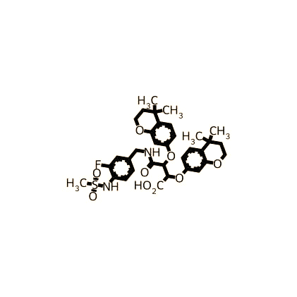 CC1(C)CCOc2cc(OC(C(=O)O)C(Oc3ccc4c(c3)OCCC4(C)C)C(=O)NCc3ccc(NS(C)(=O)=O)c(F)c3)ccc21